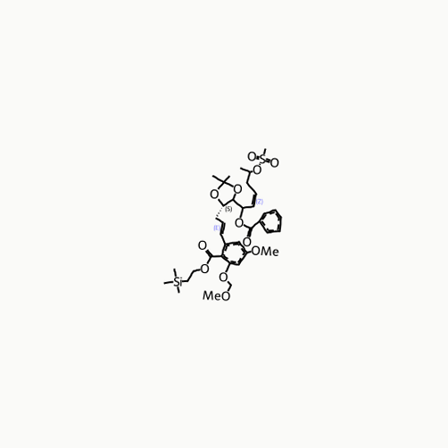 COCOc1cc(OC)cc(/C=C/C[C@@H]2OC(C)(C)OC2C(/C=C\CC(C)OS(C)(=O)=O)OC(=O)c2ccccc2)c1C(=O)OCC[Si](C)(C)C